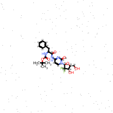 CC(C)(C)OC(=O)NC(Cc1ccccc1)C(=O)Nc1ccn([C@H]2O[C@@H](CO)[C@H](O)C2(F)F)c(=O)n1